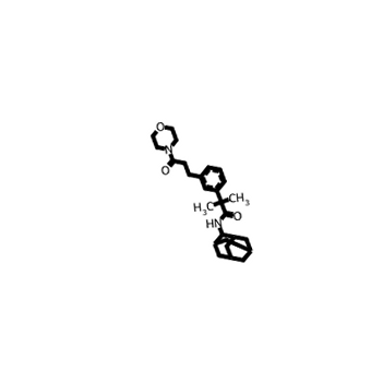 CC(C)(C(=O)NC1C2CC3CC(C2)CC1C3)c1cccc(CCC(=O)N2CCOCC2)c1